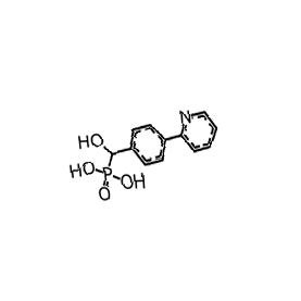 O=P(O)(O)C(O)c1ccc(-c2ccccn2)cc1